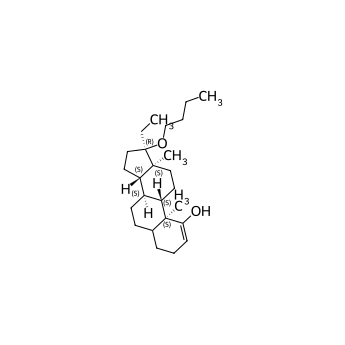 CCCCO[C@]1(CC)CC[C@H]2[C@@H]3CCC4CCC=C(O)[C@]4(C)[C@H]3CC[C@@]21C